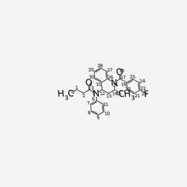 CCCC(=O)N(c1ccccc1)C1CC(C)N(C(=O)c2ccc(F)cc2)c2ccccc21